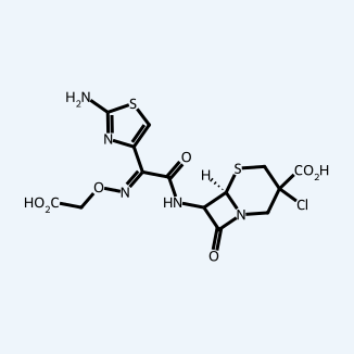 Nc1nc(C(=NOCC(=O)O)C(=O)NC2C(=O)N3CC(Cl)(C(=O)O)CS[C@H]23)cs1